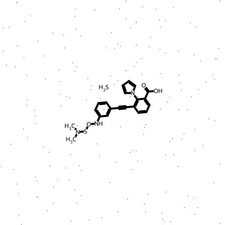 CN(C)SONc1cccc(C#Cc2cccc(C(=O)O)c2-n2cccc2)c1.S